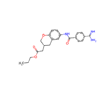 CCCOC(=O)CC1COc2ccc(NC(=O)c3ccc(C(=N)N)cc3)cc2C1